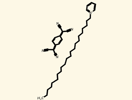 CCCCCCCCCCCCCCCCCCCCCC[n+]1ccccc1.N#CC(C#N)=c1ccc(=C(C#N)C#N)cc1